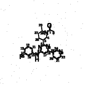 CC(=O)N1CC(c2nc(Nc3cccc(F)c3)cc(-c3cccnc3)n2)CCC1C